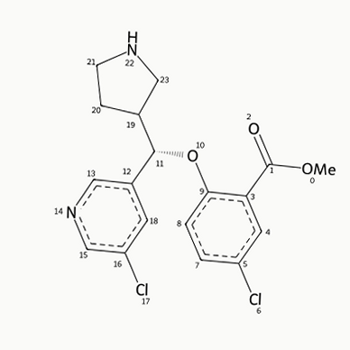 COC(=O)c1cc(Cl)ccc1O[C@H](c1cncc(Cl)c1)C1CCNC1